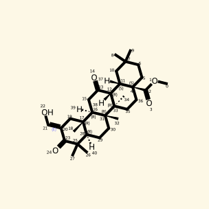 COC(=O)[C@]12CCC(C)(C)C[C@H]1[C@H]1C(=O)C[C@@H]3[C@@]4(C)C/C(=C\O)C(=O)C(C)(C)[C@@H]4CC[C@@]3(C)[C@]1(C)CC2